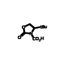 CC(C)(C)C1COC(=O)N1C(=O)O